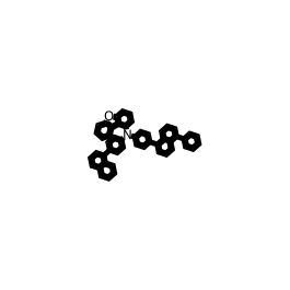 c1ccc(-c2cccc3c(-c4ccc(N(c5ccc(-c6cccc7ccccc67)cc5)c5cccc6oc7ccccc7c56)cc4)cccc23)cc1